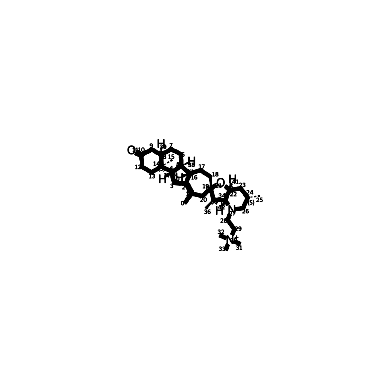 CC1=C2C[C@H]3[C@@H](CC[C@@H]4CC(=O)CC[C@@]43C)[C@@H]2CC[C@@]2(C1)O[C@@H]1C[C@H](C)CN(CC[N+](C)(C)C)[C@H]1[C@H]2C